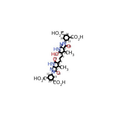 Cc1c(C=CC=c2c(C)c3c([nH]c2=O)=NN(c2cc(C(=O)O)cc(C(=O)O)c2)C3=O)c(O)[nH]c2nn(-c3cc(C(=O)O)cc(C(=O)O)c3)c(=O)c1-2